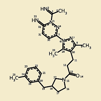 CC(=N)n1nc(-n2nc(C)c(CCC(=O)N3CCC(Cc4cccc(C)c4)C3)c2C)ccc1=N